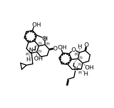 C=CCN1CC[C@]23c4c5ccc(O)c4O[C@H]2C(=O)CC[C@@]3(O)[C@H]1C5.O=C1CC[C@@]2(O)[C@H]3Cc4ccc(O)c5c4[C@@]2(CCN3CC2CC2)[C@H]1O5